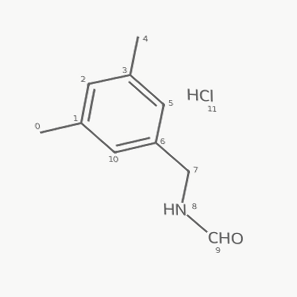 Cc1cc(C)cc(CNC=O)c1.Cl